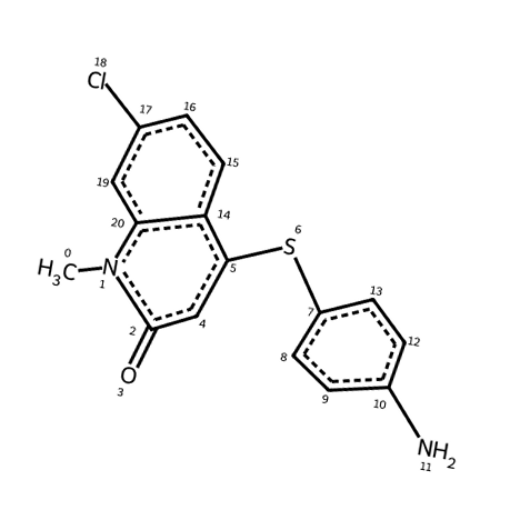 Cn1c(=O)cc(Sc2ccc(N)cc2)c2ccc(Cl)cc21